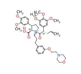 C=CC[C@H](C(=O)[N@@+]1(CCCc2cccc(OCCN3CCOCC3)c2)CCC(c2ccc(OC)c(OC)c2)[C@@H]1C(=O)O)c1cc(OC)c(OC)c(OC)c1